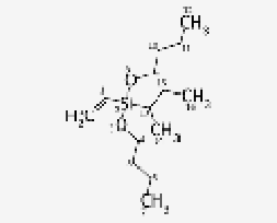 C=C[Si](OCCCC)(OCCCC)C(C)CC